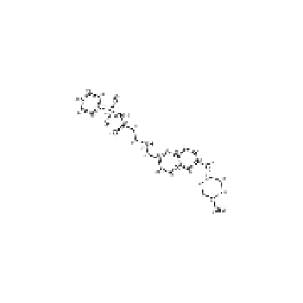 CC(C)(C)[C@H]1CC[C@H](Oc2ccc3cc(CNCCC(=O)NS(=O)(=O)c4ccccc4)ccc3c2)CC1